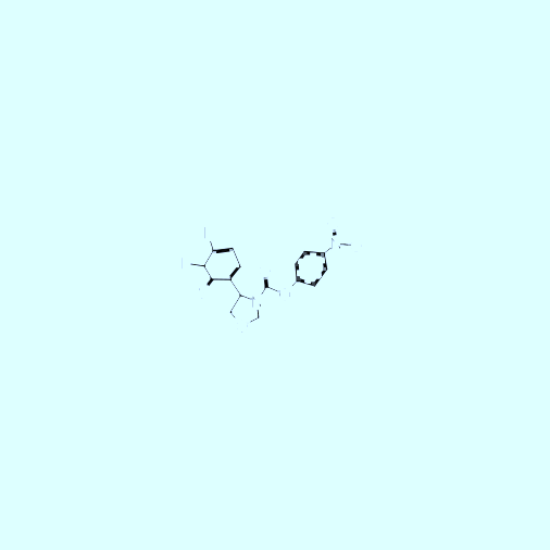 O=C(Oc1ccc([N+](=O)[O-])cc1)N1COCC1C1=CC=C(F)C(F)C1=S